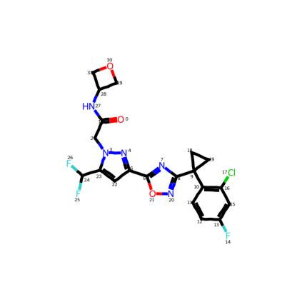 O=C(Cn1nc(-c2nc(C3(c4ccc(F)cc4Cl)CC3)no2)cc1C(F)F)NC1COC1